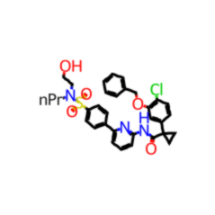 CCCN(CCO)S(=O)(=O)c1ccc(-c2cccc(NC(=O)C3(c4ccc(Cl)c(OCc5ccccc5)c4)CC3)n2)cc1